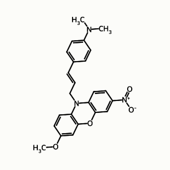 COc1ccc2c(c1)Oc1cc([N+](=O)[O-])ccc1N2C/C=C/c1ccc(N(C)C)cc1